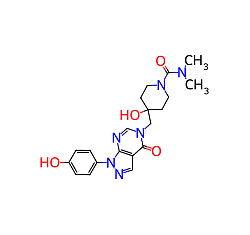 CN(C)C(=O)N1CCC(O)(Cn2cnc3c(cnn3-c3ccc(O)cc3)c2=O)CC1